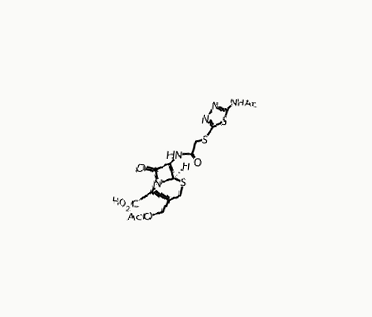 CC(=O)Nc1nnc(SCC(=O)N[C@@H]2C(=O)N3C(C(=O)O)=C(COC(C)=O)CS[C@H]23)s1